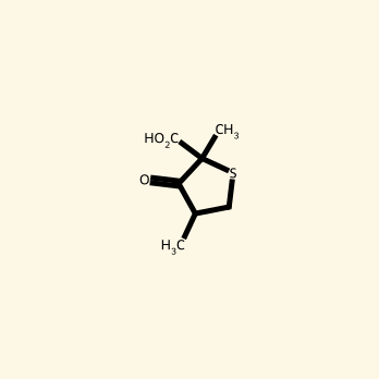 CC1CSC(C)(C(=O)O)C1=O